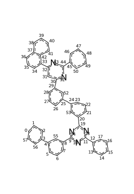 c1ccc(-c2cccc(-c3nc(-c4ccccc4)nc(-c4cccc(-c5cccc(-c6cc(-c7cccc8ccccc78)nc(-c7ccccc7)n6)c5)c4)n3)c2)cc1